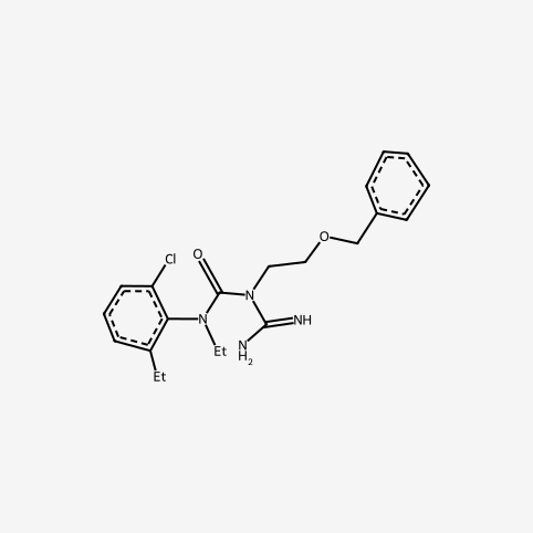 CCc1cccc(Cl)c1N(CC)C(=O)N(CCOCc1ccccc1)C(=N)N